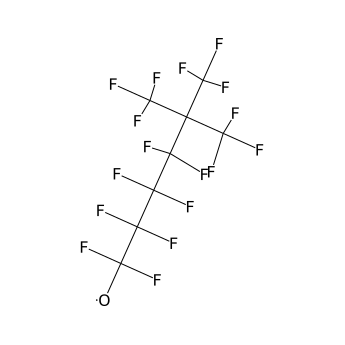 [O]C(F)(F)C(F)(F)C(F)(F)C(F)(F)C(C(F)(F)F)(C(F)(F)F)C(F)(F)F